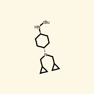 CC(C)(C)N[C@H]1CC[C@H](N(CC2CC2)CC2CC2)CC1